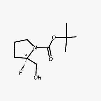 CC(C)(C)OC(=O)N1CCC[C@]1(F)CO